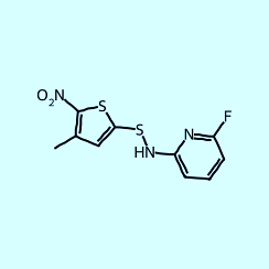 Cc1cc(SNc2cccc(F)n2)sc1[N+](=O)[O-]